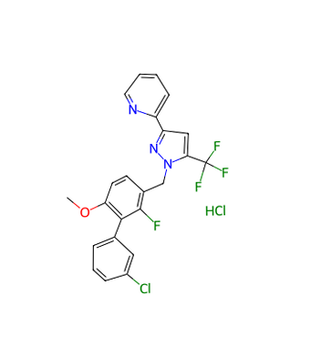 COc1ccc(Cn2nc(-c3ccccn3)cc2C(F)(F)F)c(F)c1-c1cccc(Cl)c1.Cl